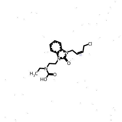 CCN(CCn1c(=O)n(C/C=C\CCl)c2ccccc21)C(=O)O